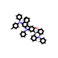 Cc1ccc(N(c2ccccc2)c2cc3c(c4ccc#cc24)c2cc4c(cc2n3-c2ccccc2)B2c3ccccc3N(c3ccccc3)c3cccc(c32)O4)cc1